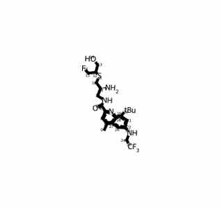 Cc1cc(C(=O)NC[C@@H](N)CSC(CO)CF)nc2c(C(C)(C)C)cc(NCC(F)(F)F)cc12